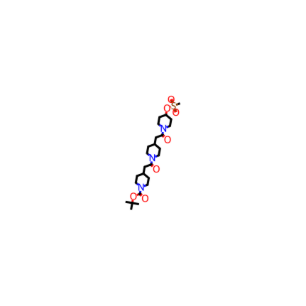 CC(C)(C)OC(=O)N1CCC(CC(=O)N2CCC(CC(=O)N3CCC(OS(C)(=O)=O)CC3)CC2)CC1